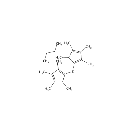 CC1=C(C)C(C)[C]([Zr][C]2=C(C)C(C)=C(C)C2C)=C1C.CCCC